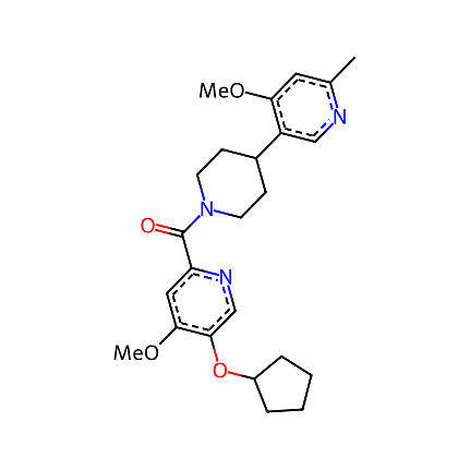 COc1cc(C(=O)N2CCC(c3cnc(C)cc3OC)CC2)ncc1OC1CCCC1